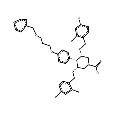 O=C(O)N1C[C@H](OCc2ccc(F)cc2F)[C@H](c2ccc(OCCCOCc3ccccc3)cc2)[C@H](OCc2ccc(F)cc2F)C1